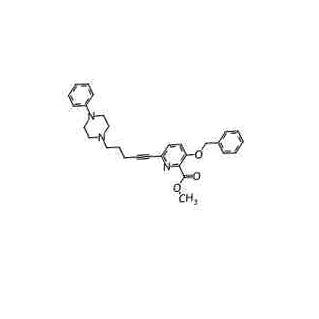 COC(=O)c1nc(C#CCCCN2CCN(c3ccccc3)CC2)ccc1OCc1ccccc1